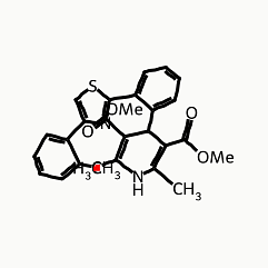 COC(=O)C1=C(C)NC(C)=C(C(=O)OC)C1c1ccccc1-c1nc(-c2ccccc2C)cs1